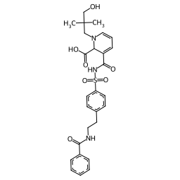 CC(C)(CO)CN1C=CC=C(C(=O)NS(=O)(=O)c2ccc(CCNC(=O)c3ccccc3)cc2)C1C(=O)O